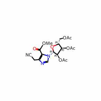 COC(=O)c1c(CC#N)ncn1[C@@H]1O[C@H](COC(C)=O)[C@@H](OC(C)=O)[C@H]1OC(C)=O